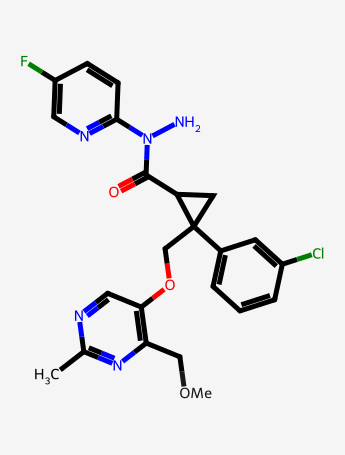 COCc1nc(C)ncc1OCC1(c2cccc(Cl)c2)CC1C(=O)N(N)c1ccc(F)cn1